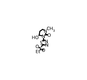 CCS(=O)(=O)c1nnc(N2C(=O)N(C)CCC2O)s1